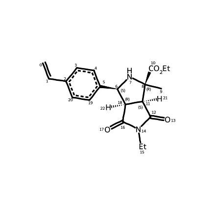 C=Cc1ccc([C@H]2N[C@@](C)(C(=O)OCC)[C@H]3C(=O)N(CC)C(=O)[C@@H]23)cc1